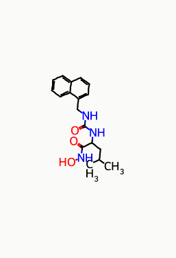 CC(C)CC(NC(=O)NCc1cccc2ccccc12)C(=O)NO